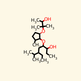 CCC(O)C(CC(CC)C(C)C)OC1C(C)CC[C@H]1OC(C)(C)C(C)O